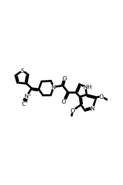 [C-]#[N+]C(=C1CCN(C(=O)C(=O)c2c[nH]c3c(OC)ncc(OC)c23)CC1)c1ccsc1